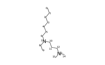 CCCCCCCN(CC)CCCN(C)C